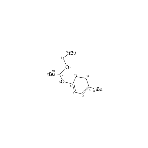 CCC(C)C1=CC=C(OC(OCC(C)(C)C)C(C)(C)C)CC1